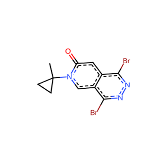 CC1(n2cc3c(Br)nnc(Br)c3cc2=O)CC1